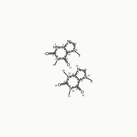 Cn1c(=O)[nH]c2ncn(C)c2c1=O.Cn1c(=O)c2c(ncn2C)n(C)c1=O